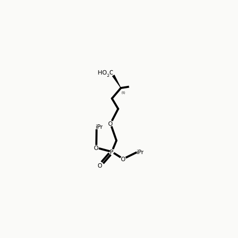 CC(C)OP(=O)(COCC[C@H](C)C(=O)O)OC(C)C